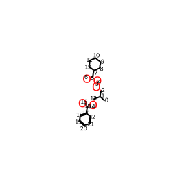 CC(COOC(=O)C1CCCCC1)COC(=O)c1ccccc1